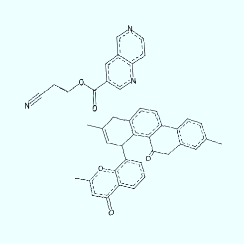 CC1=CC(c2cccc3c(=O)cc(C)oc23)c2c(ccc3c2C(=O)Cc2cc(C)ccc2-3)C1.N#CCCOC(=O)c1cnc2ccncc2c1